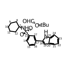 CC(C)(C)OC=O.O=S(=O)(NC1CCCCC1)c1cccc(-c2cc3ccccc3[nH]2)c1